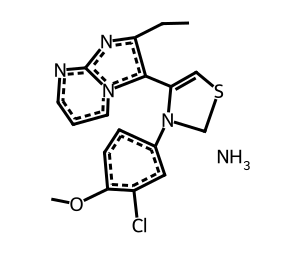 CCc1nc2ncccn2c1C1=CSCN1c1ccc(OC)c(Cl)c1.N